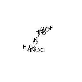 Cc1[nH]c2ccc(Cl)cc2c1C1=CCN(CCCCNS(=O)(=O)c2ccc(F)cc2)CC1